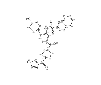 CC(C)N1CCN(c2ccc(C(=O)N3CCN(C(=O)c4cc[nH]c4)CC3)cc2NS(=O)(=O)c2ccc3ccccc3c2)CC1